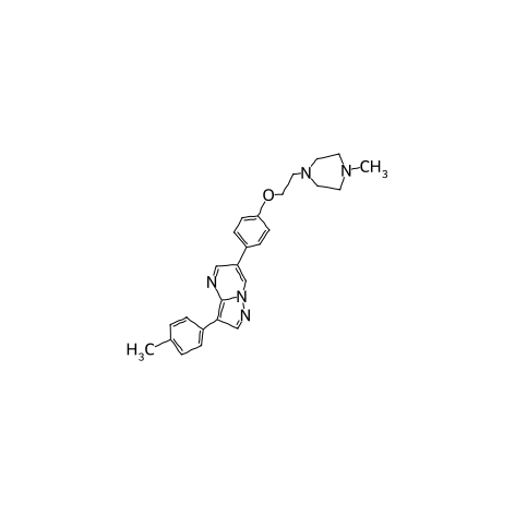 Cc1ccc(-c2cnn3cc(-c4ccc(OCCN5CCN(C)CC5)cc4)cnc23)cc1